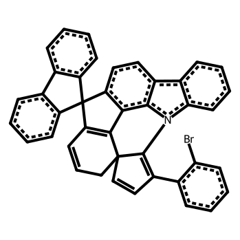 Brc1ccccc1C1=C2n3c4ccccc4c4ccc5c(c43)C3=C(C=CCC32C=C1)C51c2ccccc2-c2ccccc21